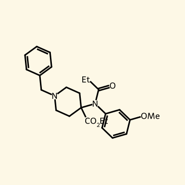 CCOC(=O)C1(N(C(=O)CC)c2cccc(OC)c2)CCN(Cc2ccccc2)CC1